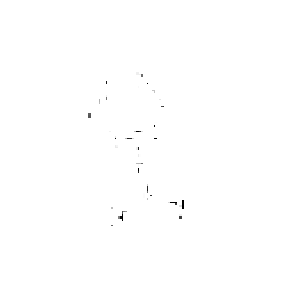 C1=CNSC=C1.NC(N)=O